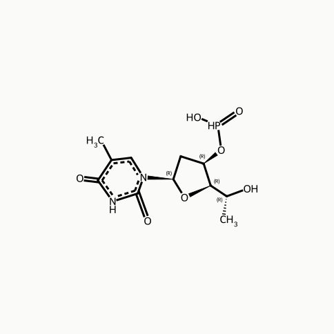 Cc1cn([C@H]2C[C@@H](O[PH](=O)O)[C@@H]([C@@H](C)O)O2)c(=O)[nH]c1=O